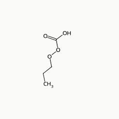 CCCOOC(=O)O